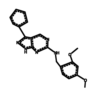 COc1ccc(CNc2ncc3c(-c4ccccc4)n[nH]c3n2)c(OC)c1